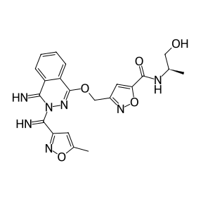 Cc1cc(C(=N)n2nc(OCc3cc(C(=O)N[C@H](C)CO)on3)c3ccccc3c2=N)no1